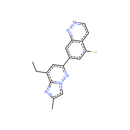 CCc1cc(-c2cc(F)c3ccnnc3c2)nn2cc(C)nc12